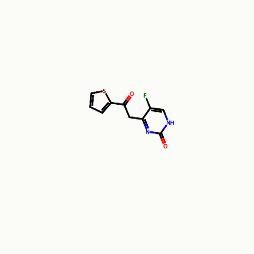 O=C(Cc1nc(=O)[nH]cc1F)c1cccs1